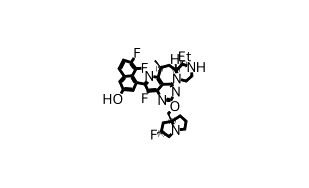 CC[C@@H]1NCCN2c3nc(OC[C@@]45CCCN4C[C@H](F)C5)nc4c(F)c(-c5cc(O)cc6ccc(F)c(F)c56)nc(c34)[C@@H](C)C[C@H]12